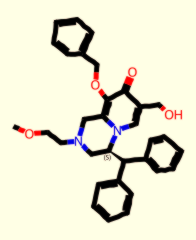 COCCN1Cc2c(OCc3ccccc3)c(=O)c(CO)cn2[C@@H](C(c2ccccc2)c2ccccc2)C1